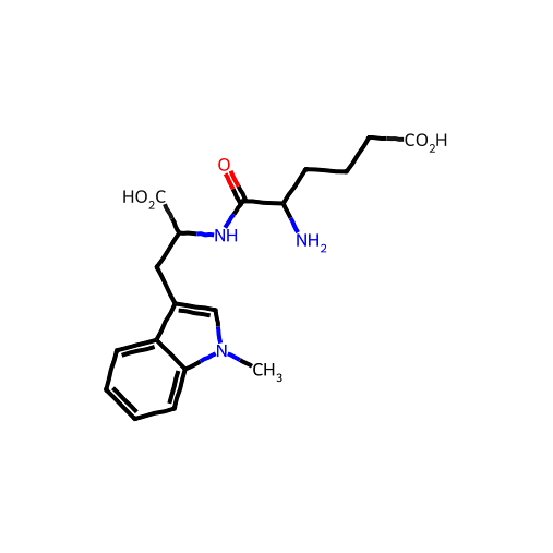 Cn1cc(CC(NC(=O)C(N)CCCC(=O)O)C(=O)O)c2ccccc21